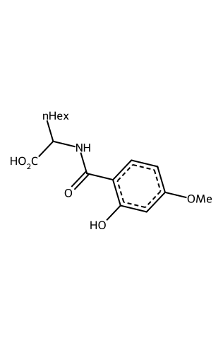 CCCCCCC(NC(=O)c1ccc(OC)cc1O)C(=O)O